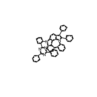 c1ccc(-c2nc(-c3ccccc3)nc(-c3ccccc3-n3c4cccc5c6ccccc6n6c(-c7ccccc7)c(-c7ccccc7)c7ccc3c(c54)c76)n2)cc1